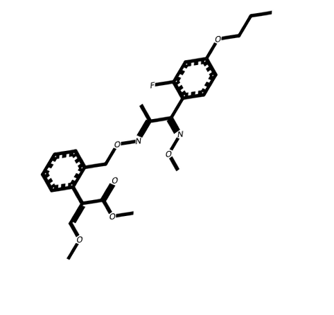 CCCOc1ccc(C(=N/OC)/C(C)=N/OCc2ccccc2/C(=C/OC)C(=O)OC)c(F)c1